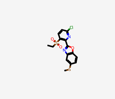 CCS(=O)(=O)c1ccc(Cl)nc1-c1nc2cc(SC)ccc2o1